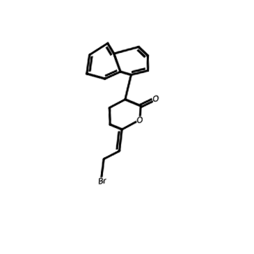 O=C1O/C(=C/CBr)CCC1c1cccc2ccccc12